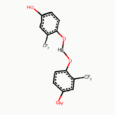 Oc1ccc(OBOc2ccc(O)cc2C(F)(F)F)c(C(F)(F)F)c1